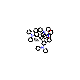 CC(C)(C)C1(C2(C(C)(C)C)c3cc(N(c4ccccc4)c4ccccc4)ccc3-c3c2cc(N(c2ccccc2)c2ccccc2)c2ccccc32)c2cc(N(c3ccccc3)c3ccccc3)ccc2-c2c1cc(N(c1ccccc1)c1ccccc1)c1ccccc21